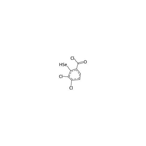 O=C(Cl)c1ccc(Cl)c(Cl)c1[SeH]